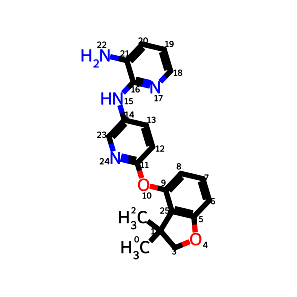 CC1(C)COc2cccc(Oc3ccc(Nc4ncccc4N)cn3)c21